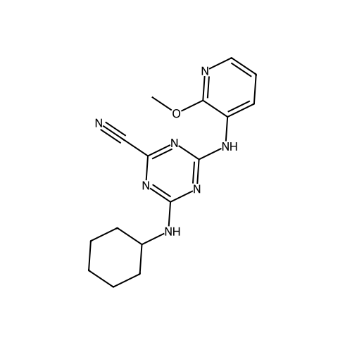 COc1ncccc1Nc1nc(C#N)nc(NC2CCCCC2)n1